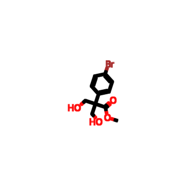 COC(=O)C(CO)(CO)c1ccc(Br)cc1